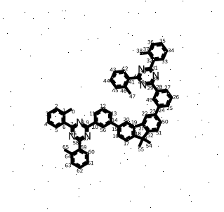 Cc1ccccc1-c1nc(-c2cccc(-c3ccc4c(c3)-c3cc(-c5cccc(-c6nc(-c7ccccc7C)nc(-c7ccccc7C)n6)c5)ccc3C4(C)C)c2)nc(-c2ccccc2C)n1